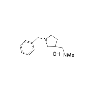 CNC[C@]1(O)CCN(Cc2ccccc2)C1